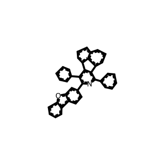 c1ccc(-c2nc(-c3ccc4c(c3)oc3ccccc34)c(-c3ccccc3)c3c2-c2cccc4cccc-3c24)cc1